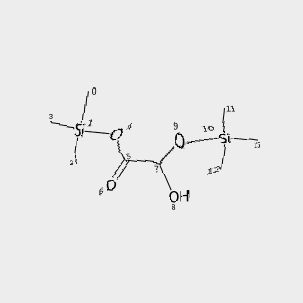 C[Si](C)(C)OC(=O)C(O)O[Si](C)(C)C